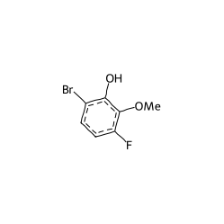 COc1c(F)ccc(Br)c1O